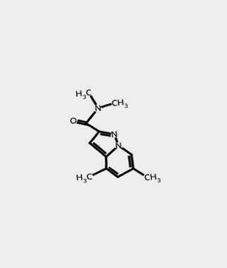 Cc1cc(C)c2cc(C(=O)N(C)C)nn2c1